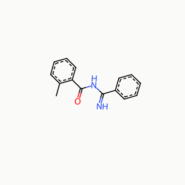 Cc1ccccc1C(=O)NC(=N)c1ccccc1